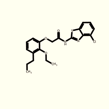 CCCc1cccc(OCC(=O)Nc2nc3c(Cl)cccc3s2)c1OCC